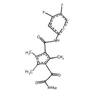 CNC(=O)C(=O)c1c(C)c(C(=O)Nc2ccc(F)c(F)c2)n(C)c1C